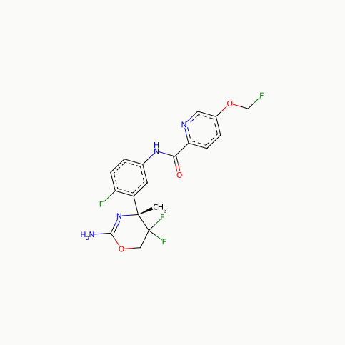 C[C@]1(c2cc(NC(=O)c3ccc(OCF)cn3)ccc2F)N=C(N)OCC1(F)F